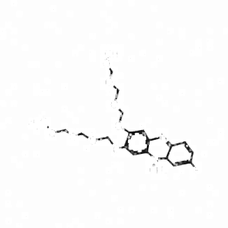 COCOCOCOc1cc2c(cc1OCOCOCOC)N(C)C1C=C(F)C=CC1=N2